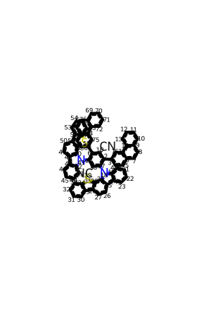 N#Cc1c(-c2ccc3ccc4ccccc4c3c2)c(-n2c3ccccc3c3ccc4c5ccccc5sc4c32)c(C#N)c(-n2c3ccccc3c3ccc4c5ccccc5sc4c32)c1-c1ccc2ccc3ccccc3c2c1